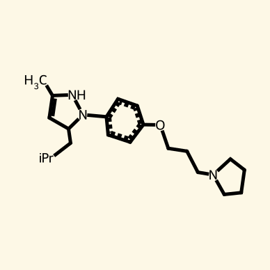 CC1=CC(CC(C)C)N(c2ccc(OCCCN3CCCC3)cc2)N1